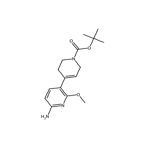 COc1nc(N)ccc1C1=CCN(C(=O)OC(C)(C)C)CC1